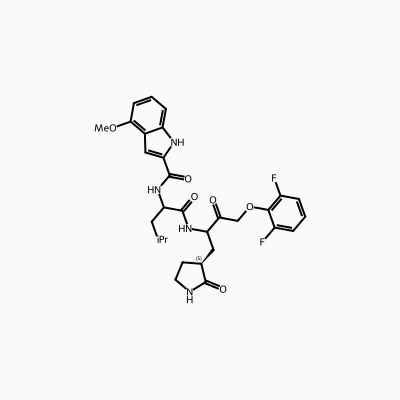 COc1cccc2[nH]c(C(=O)NC(CC(C)C)C(=O)NC(C[C@@H]3CCNC3=O)C(=O)COc3c(F)cccc3F)cc12